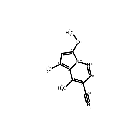 COc1cc(C)c2c(C)c(C#N)cnn12